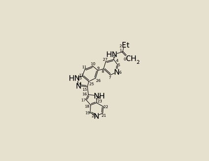 C=C(CC)Nc1cncc(-c2ccc3[nH]nc(-c4cc5cnccc5[nH]4)c3c2)c1